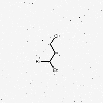 [CH2]CC(Br)CCCl